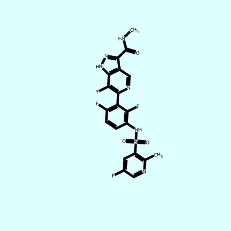 CNC(=O)c1n[nH]c2c(F)c(-c3c(F)ccc(NS(=O)(=O)c4cc(F)cnc4C)c3F)ncc12